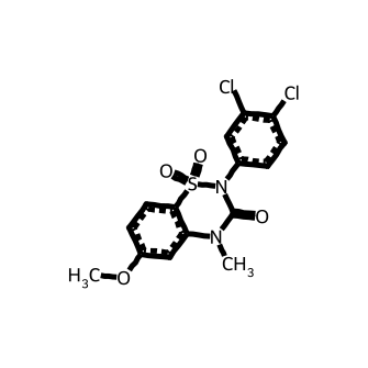 COc1ccc2c(c1)N(C)C(=O)N(c1ccc(Cl)c(Cl)c1)S2(=O)=O